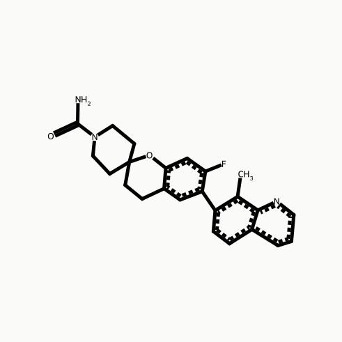 Cc1c(-c2cc3c(cc2F)OC2(CC3)CCN(C(N)=O)CC2)ccc2cccnc12